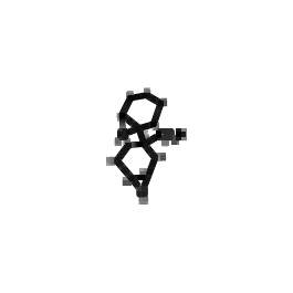 O=C(O)C1(C23CCCCC2O3)CCC2OC2C1